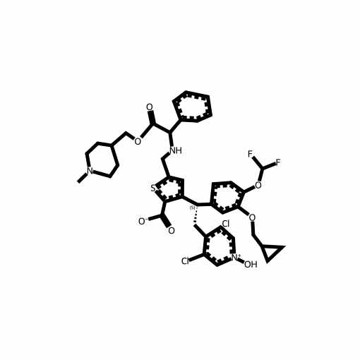 CN1CCC(COC(=O)C(NCc2cc([C@@H](Cc3c(Cl)c[n+](O)cc3Cl)c3ccc(OC(F)F)c(OCC4CC4)c3)c(C(=O)[O-])s2)c2ccccc2)CC1